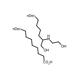 CCCCCCCCCCCCCCC(CO)NCCO.CCCCCCCCCCCCCCCCCC(=O)O